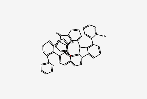 N#Cc1ccccc1-c1cccc2c3cccc(-c4ccccc4C#N)c3n(-c3cccc4c3C(=O)N(c3cccc(-c5ccccc5)c3-c3ccccc3)C4=O)c12